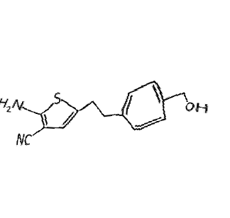 N#Cc1cc(CCc2ccc(CO)cc2)sc1N